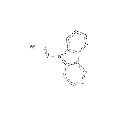 CC(=O)/C=C/n1c2ccccc2c2ccccc21